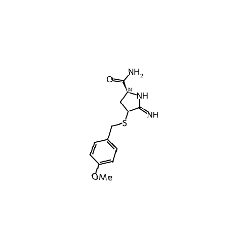 COc1ccc(CSC2C[C@@H](C(N)=O)NC2=N)cc1